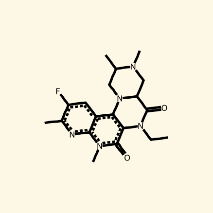 CCN1C(=O)C2CN(C)C(C)CN2c2c1c(=O)n(C)c1nc(C)c(F)cc21